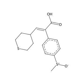 C[S+]([O-])c1ccc(/C(=C\C2CCSCC2)C(=O)O)cc1